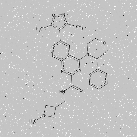 Cc1noc(C)c1-c1ccc2nc(C(=O)NCC3CN(C)C3)nc(N3CCOC[C@@H]3c3ccccc3)c2c1